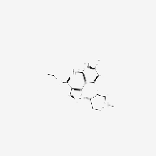 CCOC(=O)c1cnn(C2CCN(C)CC2)c1-c1ccc(F)nc1F